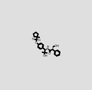 [2H]C([2H])(Oc1ccc([C@@H](NC(=O)[C@@H](CO)c2ccccc2)C(C)(C)O)cc1)C1(C)CCCC1